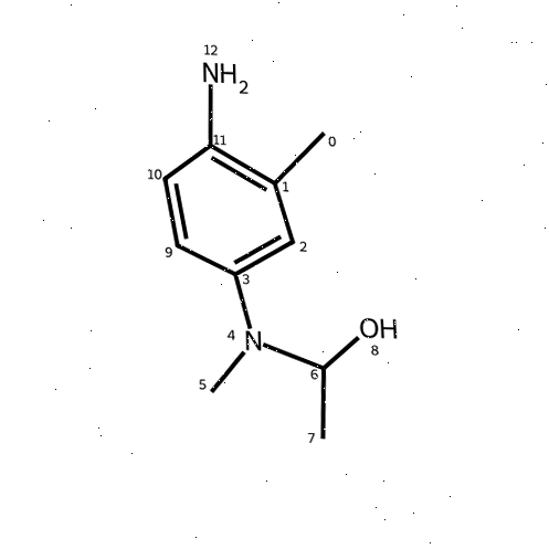 Cc1cc(N(C)C(C)O)ccc1N